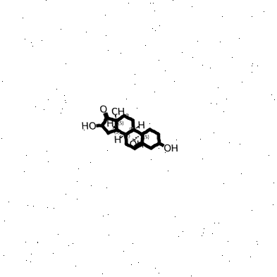 C[C@]12CC[C@@H]3[C@@H](CC=C4CC(O)CC[C@@]43CO)[C@@H]1CC(O)C2=O